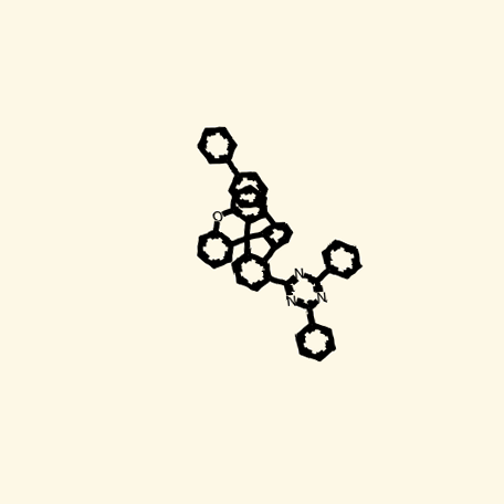 c1ccc(-c2ccc(-c3cccc4c3C3(c5ccccc5Oc5ccccc53)c3cccc(-c5nc(-c6ccccc6)nc(-c6ccccc6)n5)c3-4)cc2)cc1